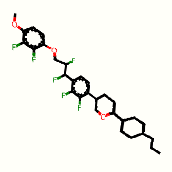 CCCC1CCC(C2CCC(c3ccc(C(F)C(F)COc4ccc(OC)c(F)c4F)c(F)c3F)CO2)CC1